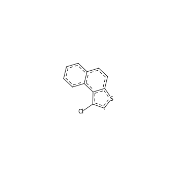 Clc1[c]sc2ccc3ccccc3c12